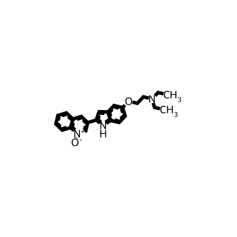 CCN(CC)CCOc1ccc2[nH]c(-c3cc4ccccc4[n+]([O-])c3)cc2c1